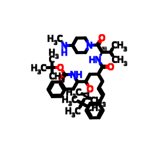 CNC1CCN(C(=O)[C@@H](NC(=O)C(CC=Cc2ccccc2)CC(O[Si](C)(C)C(C)(C)C)C(Cc2ccccc2)NC(=O)OC(C)(C)C)C(C)C)CC1